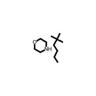 C1COCCN1.CCCCC(C)(C)C